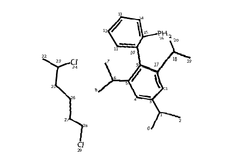 CC(C)c1cc(C(C)C)c(-c2ccccc2P)c(C(C)C)c1.CC(Cl)CCCCCl